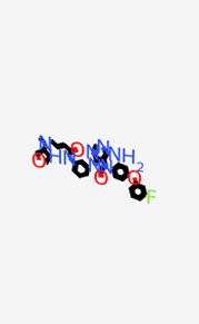 CN(C/C=C/C(=O)NC1=CCCC(n2c(=O)n(-c3ccc(Oc4cccc(F)c4)cc3)c3c(N)ncnc32)=C1)C1CCOC1